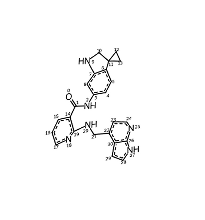 O=C(Nc1ccc2c(c1)NCC21CC1)c1cccnc1NCc1ccnc2[nH]ccc12